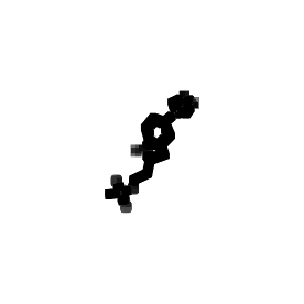 CS(=O)(=O)OCCc1cc2cc(-n3cnnc3)ccc2[nH]1